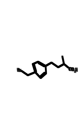 CCOC(=O)C(C)CCc1ccc(CBr)cc1